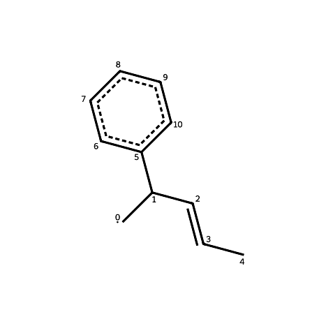 [CH2]C(C=CC)c1ccccc1